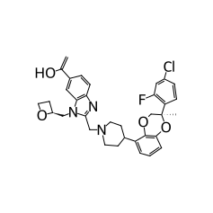 C=C(O)c1ccc2nc(CN3CCC(c4cccc5c4OC[C@@](C)(c4ccc(Cl)cc4F)O5)CC3)n(C[C@@H]3CCO3)c2c1